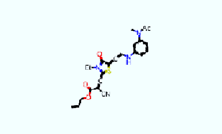 C=CCOC(=O)C(=C=c1sc(=C=CNc2cccc(N(C)C(C)=O)c2)c(=O)n1CC)C#N